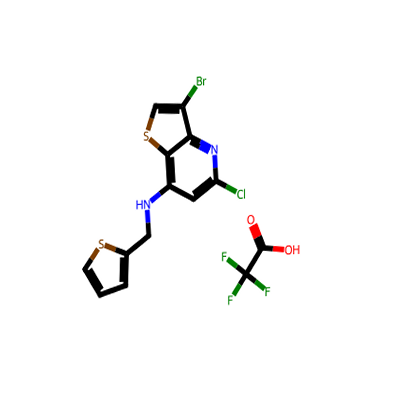 Clc1cc(NCc2cccs2)c2scc(Br)c2n1.O=C(O)C(F)(F)F